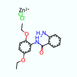 CCOc1ccc(OCC)c(NC(=O)c2ccccc2N)c1.[Cl-].[Cl-].[Zn+2]